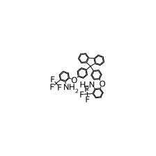 Nc1c(Oc2ccc(C3(c4ccc(Oc5cccc(C(F)(F)F)c5N)cc4)c4ccccc4-c4ccccc43)cc2)cccc1C(F)(F)F